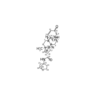 C[C@]12CC[C@H]3[C@@H](CC[C@H]4SC(=O)C=C[C@@]43C)[C@@H]1C[C@H](C(=O)NC13CCC(CC1)C3)C2